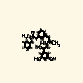 C[C@H](Cc1cccc(CC(=O)N(C)Cc2ccccc2)c1)NC[C@H](O)c1cc(O)cc(O)c1